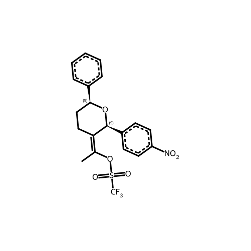 CC(OS(=O)(=O)C(F)(F)F)=C1CC[C@@H](c2ccccc2)O[C@H]1c1ccc([N+](=O)[O-])cc1